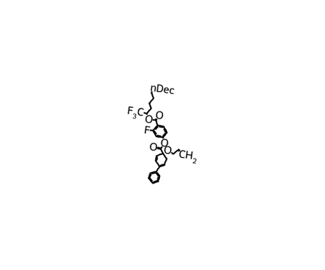 C=CCOC1(C(=O)Oc2ccc(C(=O)OC(CCCCCCCCCCCCCC)C(F)(F)F)c(F)c2)C=CC(c2ccccc2)=CC1